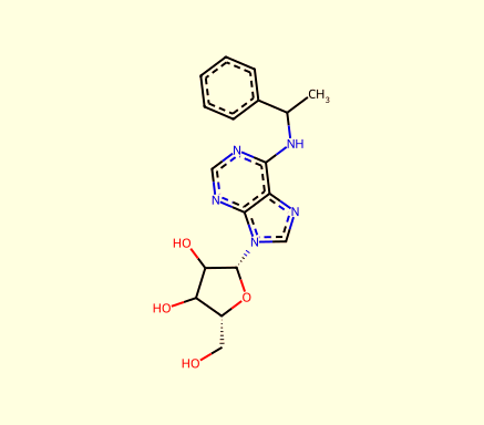 CC(Nc1ncnc2c1ncn2[C@@H]1O[C@H](CO)C(O)C1O)c1ccccc1